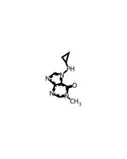 Cn1cnc2ncn(PC3CC3)c2c1=O